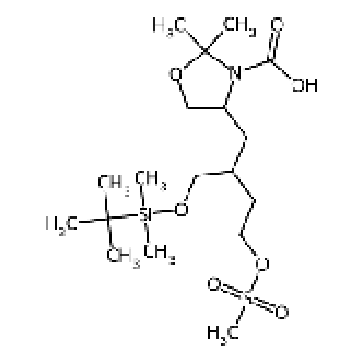 CC1(C)OCC(CC(CCOS(C)(=O)=O)CO[Si](C)(C)C(C)(C)C)N1C(=O)O